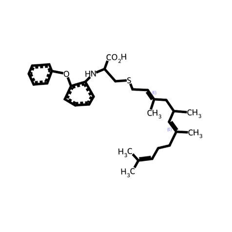 CC(C)=CCC/C(C)=C/C(C)C/C(C)=C/CSCC(Nc1ccccc1Oc1ccccc1)C(=O)O